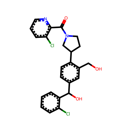 O=C(c1ncccc1Cl)N1CCC(c2ccc(C(O)c3ccccc3Cl)cc2CO)C1